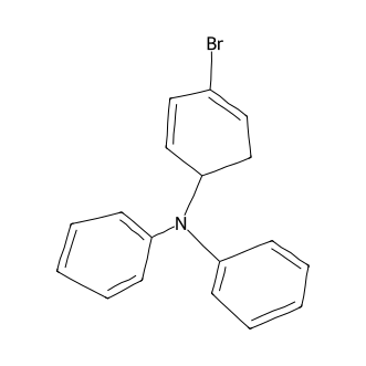 BrC1=CCC(N(c2ccccc2)c2ccccc2)C=C1